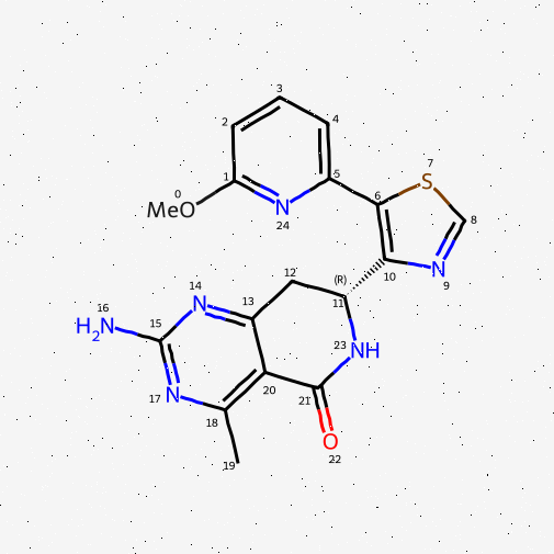 COc1cccc(-c2scnc2[C@H]2Cc3nc(N)nc(C)c3C(=O)N2)n1